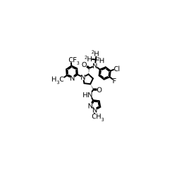 [2H]C([2H])([2H])N(C(=O)[C@@H]1C[C@H](C(=O)Nc2ccn(C)n2)CN1c1cc(C(F)(F)F)cc(C)n1)c1ccc(F)c(Cl)c1